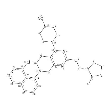 CN1CCC[C@H]1COc1nc2c(c(N3CCN(C#N)CC3)n1)CCN(c1cccc3cccc(Cl)c13)C2